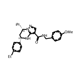 CCc1ccc([C@@H]2C[C@H](C(C)C)n3ncc(C(=O)NCc4ccc(OC)cc4)c3N2)cc1